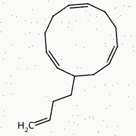 C=CCCC1/C=C\CC/C=C\CC/C=C\C1